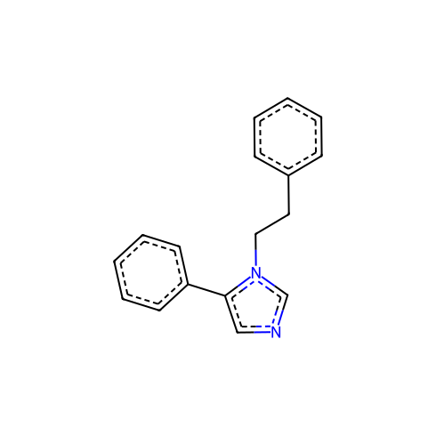 c1ccc(CCn2cncc2-c2ccccc2)cc1